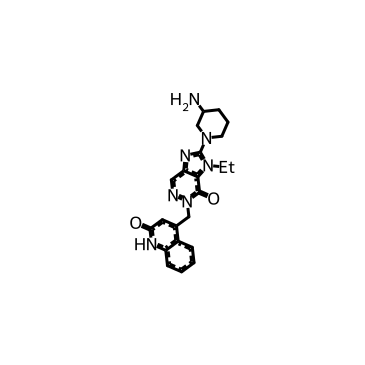 CCn1c(N2CCCC(N)C2)nc2cnn(Cc3cc(=O)[nH]c4ccccc34)c(=O)c21